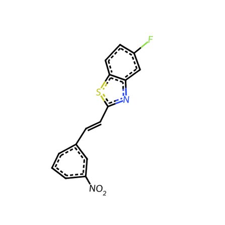 O=[N+]([O-])c1cccc(/C=C/c2nc3cc(F)ccc3s2)c1